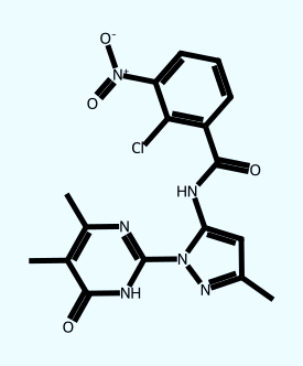 Cc1cc(NC(=O)c2cccc([N+](=O)[O-])c2Cl)n(-c2nc(C)c(C)c(=O)[nH]2)n1